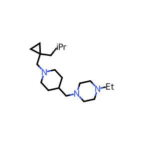 CCN1CCN(CC2CCN(CC3(CC(C)C)CC3)CC2)CC1